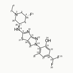 CCN1C[C@H](F)C[C@@H](Nc2nc3nn(-c4c(C)cc(C(F)F)cc4O)cc3s2)C1